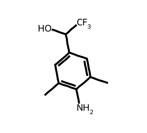 Cc1cc(C(O)C(F)(F)F)cc(C)c1N